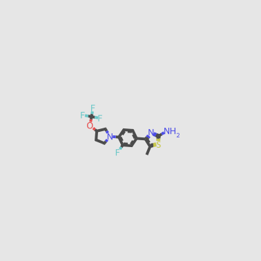 Cc1sc(N)nc1-c1ccc(N2CCC(OC(F)(F)F)C2)c(F)c1